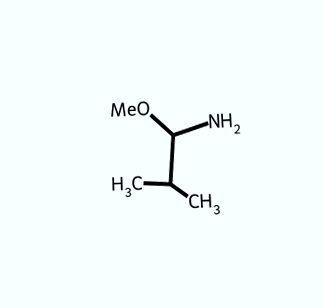 COC(N)C(C)C